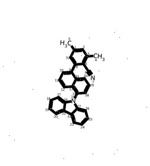 Cc1cc(C)c(C#N)c(-c2cccc3c(-n4c5ccccc5c5ccccc54)cccc23)c1